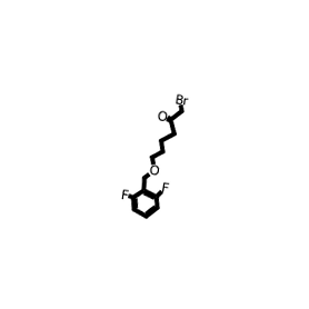 O=C(CBr)CCCCOCc1c(F)cccc1F